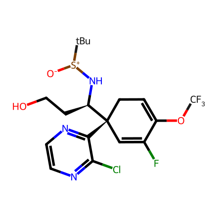 CC(C)(C)[S+]([O-])N[C@H](CCO)[C@@]1(c2nccnc2Cl)C=C(F)C(OC(F)(F)F)=CC1